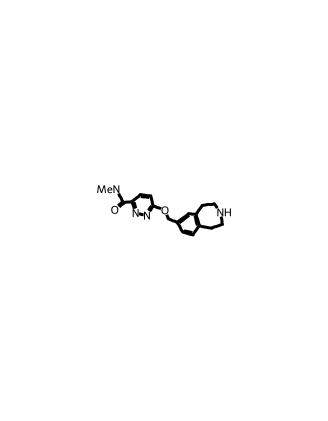 CNC(=O)c1ccc(OCc2ccc3c(c2)CCNCC3)nn1